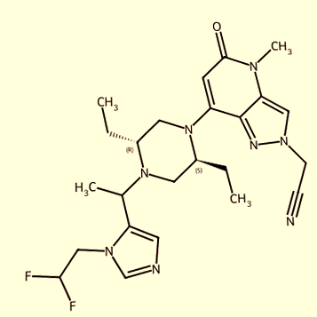 CC[C@H]1CN(C(C)c2cncn2CC(F)F)[C@H](CC)CN1c1cc(=O)n(C)c2cn(CC#N)nc12